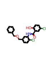 O=C(Nc1cc(COCc2ccccc2)ccc1Cl)c1cc(Cl)ccc1O